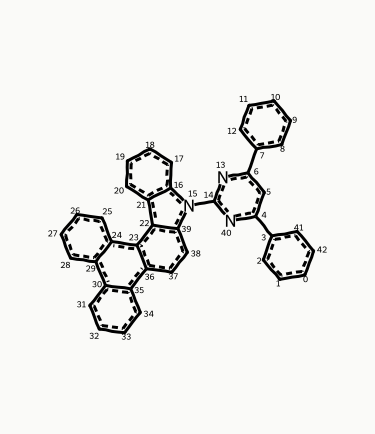 c1ccc(-c2cc(-c3ccccc3)nc(-n3c4ccccc4c4c5c6ccccc6c6ccccc6c5ccc43)n2)cc1